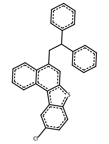 Clc1ccc2sc3cc(CC(c4ccccc4)c4ccccc4)c4ccccc4c3c2c1